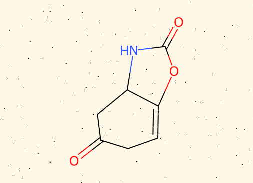 O=C1[CH]C2NC(=O)OC2=CC1